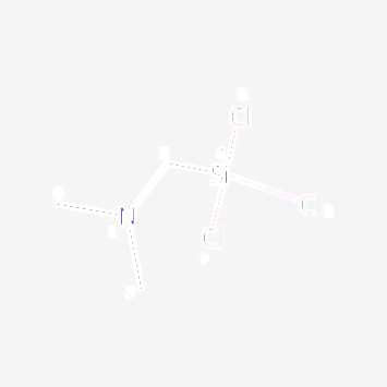 CN(C)C[Si](Cl)(Cl)Cl